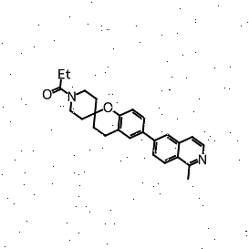 CCC(=O)N1CCC2(CCc3cc(-c4ccc5c(C)nccc5c4)ccc3O2)CC1